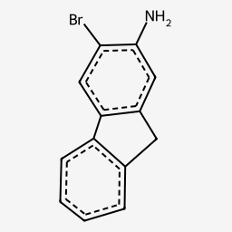 Nc1cc2c(cc1Br)-c1ccccc1C2